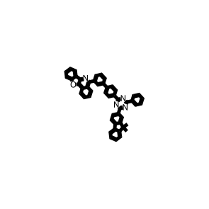 CC1(C)c2ccccc2-c2ccc(-c3nc(-c4ccccc4)nc(-c4ccc(-c5cccc(-c6nc7c8ccccc8oc7c7ccccc67)c5)cc4)n3)cc21